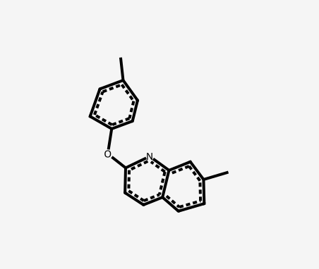 Cc1ccc(Oc2ccc3ccc(C)cc3n2)cc1